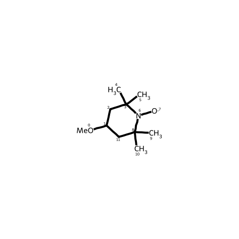 COC1CC(C)(C)N([O])C(C)(C)C1